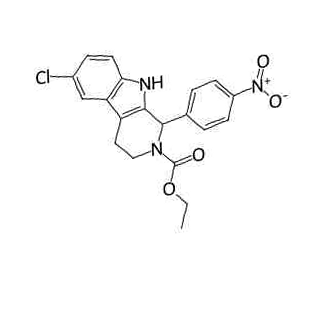 CCOC(=O)N1CCc2c([nH]c3ccc(Cl)cc23)C1c1ccc([N+](=O)[O-])cc1